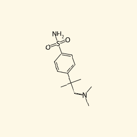 CN(C)CC(C)(C)c1ccc(S(N)(=O)=O)cc1